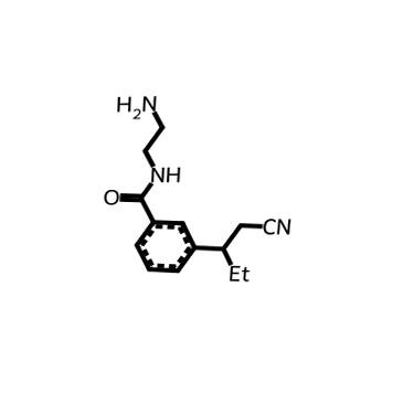 CCC(CC#N)c1cccc(C(=O)NCCN)c1